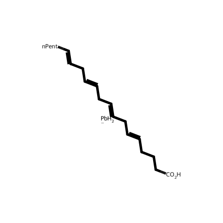 CCCCCC=CCC=CCC=CCC=CCCCC(=O)O.[PbH2]